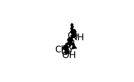 CCCCc1ccc([C@H](C)NC(=O)c2ccc3c(Cc4cc(Cl)cc(O[C@H](C)C(=O)O)c4)c(C)n(CC4CC4)c3c2)cc1